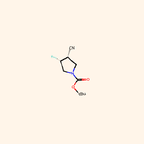 CC(C)(C)OC(=O)N1C[C@@H](C#N)[C@@H](F)C1